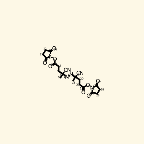 CC(C#N)(CCC(=O)ON1C(=O)CCC1=O)N=NC(C)(C#N)CCC(=O)ON1C(=O)CCC1=O